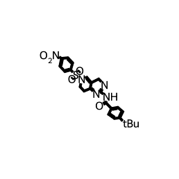 CC(C)(C)c1ccc(C(=O)NC2=NCC3=CN(S(=O)(=O)c4ccc([N+](=O)[O-])cc4)CCC3=N2)cc1